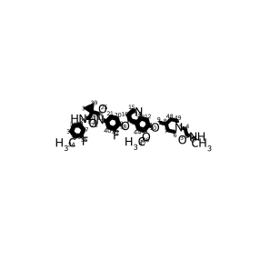 CNC(=O)CN1CCC(COc2cc3nccc(Oc4ccc(NC(=O)C5(C(=O)Nc6ccc(C)c(F)c6)CC5)cc4F)c3cc2OC)CC1